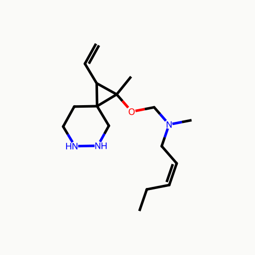 C=CC1C2(CCNNC2)C1(C)OCN(C)C/C=C\CC